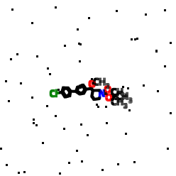 COC(c1ccc(-c2ccc(Cl)cc2)cc1)C1CCCN(C(=O)OC(C)(C)C)C1